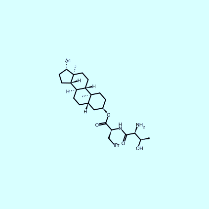 CC(=O)[C@H]1CC[C@H]2[C@@H]3CC[C@H]4C[C@H](OC(=O)[C@H](CC(C)C)NC(=O)[C@@H](N)[C@@H](C)O)CC[C@]4(C)[C@H]3CC[C@]12C